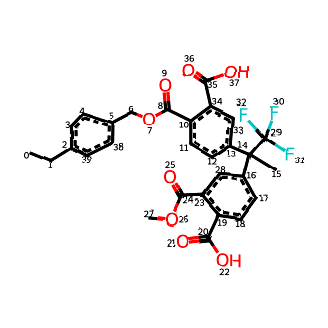 CCc1ccc(COC(=O)c2ccc(C(C)(c3ccc(C(=O)O)c(C(=O)OC)c3)C(F)(F)F)cc2C(=O)O)cc1